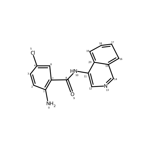 Nc1ccc(Cl)cc1C(=O)Nc1cncc2ccccc12